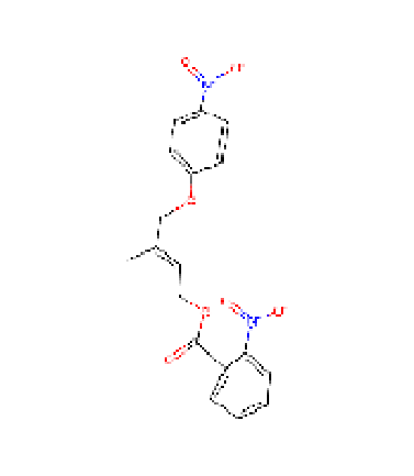 C/C(=C\COC(=O)c1ccccc1[N+](=O)[O-])COc1ccc([N+](=O)[O-])cc1